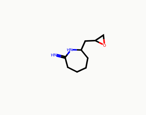 N=C1CCCCC(CC2CO2)N1